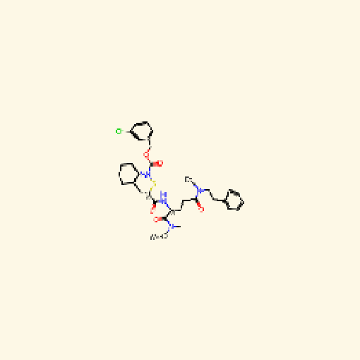 CCN(CCc1ccccc1)C(=O)CC[C@H](NC(=O)[C@H](CC1CCCCC1)SNC(=O)OCc1cccc(Cl)c1)C(=O)N(C)OC